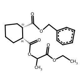 CCOC(=O)C(C)OC(=O)[C@@H]1CCCC[C@@H]1C(=O)OCc1ccccc1